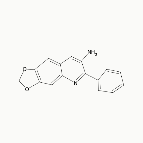 Nc1cc2cc3c(cc2nc1-c1ccccc1)OCO3